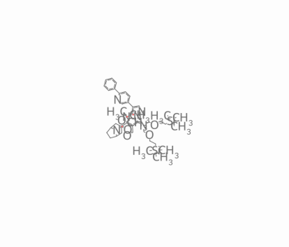 CC(C)(C)OC(=O)N1C2CCC1CC(c1nc3c(-c4ccc(-c5ccccc5)nc4)cnn3c(N(COCC[Si](C)(C)C)COCC[Si](C)(C)C)c1C=O)C2